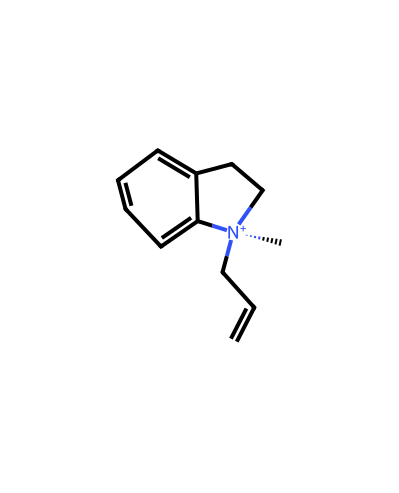 C=CC[N@+]1(C)CCc2ccccc21